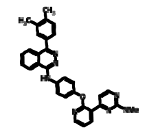 CNc1nccc(-c2cccnc2Oc2ccc(Nc3nnc(-c4ccc(C)c(C)c4)c4ccccc34)cc2)n1